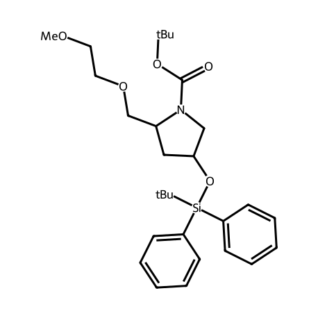 COCCOCC1CC(O[Si](c2ccccc2)(c2ccccc2)C(C)(C)C)CN1C(=O)OC(C)(C)C